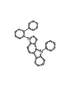 c1ccc(-c2ccccc2-n2ccc3c2ccc2c4ccccc4n(-c4ccccc4)c23)cc1